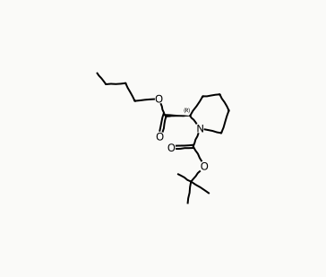 CCCCOC(=O)[C@H]1CCCCN1C(=O)OC(C)(C)C